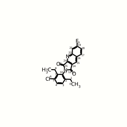 CCc1ccc(Cl)c(CC)c1N1C(=O)c2cc3ccc(F)cc3nc2C1=O